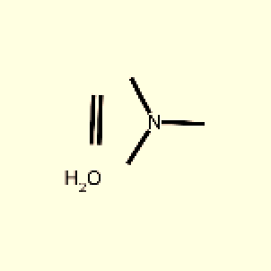 C=C.CN(C)C.O